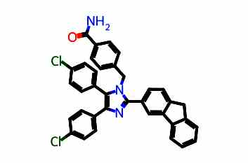 NC(=O)c1ccc(Cn2c(-c3ccc4c(c3)-c3ccccc3C4)nc(-c3ccc(Cl)cc3)c2-c2ccc(Cl)cc2)cc1